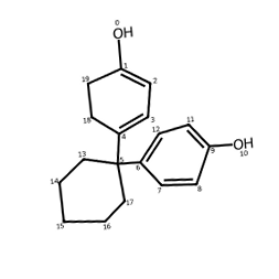 OC1=CC=C(C2(c3ccc(O)cc3)CCCCC2)CC1